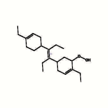 CCC1=CCC(/C(CC)=C(\CC)C2CC=C(CC)C(OO)C2)CC1